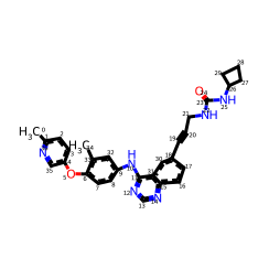 Cc1ccc(Oc2ccc(Nc3ncnc4ccc(C#CCNC(=O)NC5CCC5)cc34)cc2C)cn1